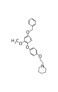 COc1cc(OCc2ccccc2)c[c]c1Oc1ccc(OCCN2CCCCC2)cc1